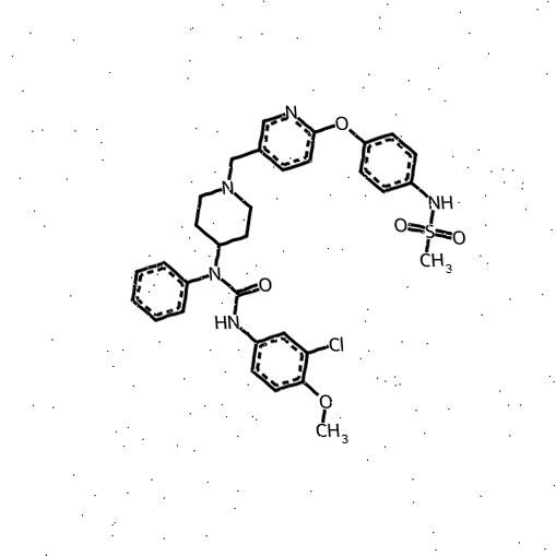 COc1ccc(NC(=O)N(c2ccccc2)C2CCN(Cc3ccc(Oc4ccc(NS(C)(=O)=O)cc4)nc3)CC2)cc1Cl